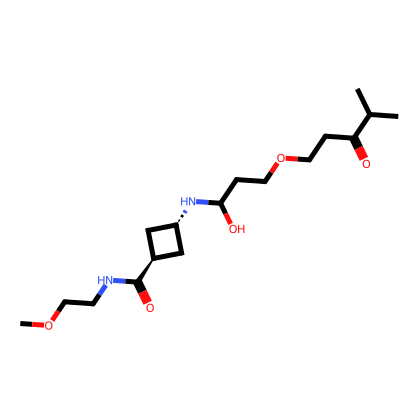 COCCNC(=O)[C@H]1C[C@H](NC(O)CCOCCC(=O)C(C)C)C1